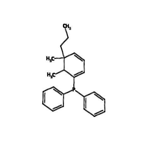 CCCC1(C)C=CC=C(P(c2ccccc2)c2ccccc2)C1C